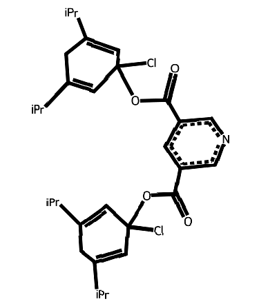 CC(C)C1=CC(Cl)(OC(=O)c2cncc(C(=O)OC3(Cl)C=C(C(C)C)CC(C(C)C)=C3)c2)C=C(C(C)C)C1